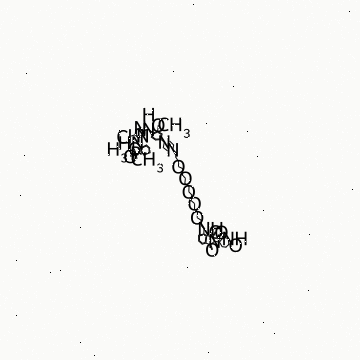 COc1cc(N2CCN(CCCOCCOCCOCCOCCOCCNc3cccc4c3C(=O)N(C3CCC(=O)NC3=O)C4=O)CC2)ccc1Nc1ncc(Cl)c(Nc2ccccc2P(C)(C)=O)n1